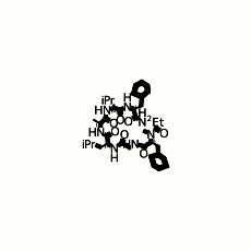 CCC(=O)N(C)[C@@H](Cc1ccccc1)C(=O)NCC(=O)N[C@@H](CC(C)C)C(=O)N[C@@H](C)C(=O)N[C@H](C(=O)N[C@@H](Cc1ccccc1)C(N)=O)C(C)C